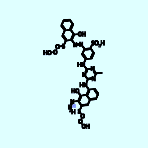 [2H]/N=N\c1c(SOOO)cc2cccc(Nc3nc(C)nc(Nc4ccc(S(=O)(=O)O)c(N=Nc5c(SOOO)cc6ccccc6c5O)c4)n3)c2c1O